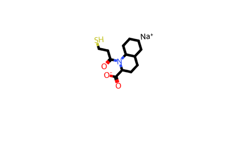 O=C([O-])C1CCC2CCCCC2N1C(=O)CCS.[Na+]